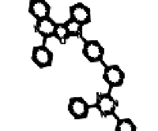 c1ccc(-c2nc(-c3ccccc3)nc(-c3cccc(-c4ccc(-n5c6ccccc6c6c7c(oc65)c(-c5ccccc5)nc5ccccc57)cc4)c3)n2)cc1